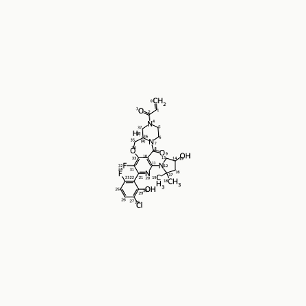 C=CC(=O)N1CCN2C(=O)c3c(N4CC(O)CC4(C)C)nc(-c4c(F)ccc(Cl)c4O)c(F)c3OC[C@H]2C1